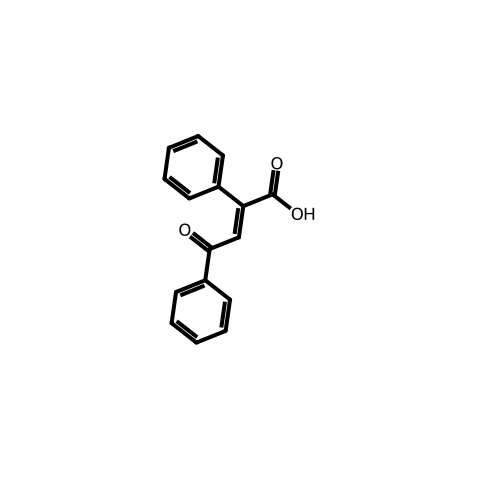 O=C(O)/C(=C/C(=O)c1ccccc1)c1ccccc1